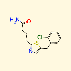 NC(=O)CCCc1ncc(Cc2ccccc2Cl)s1